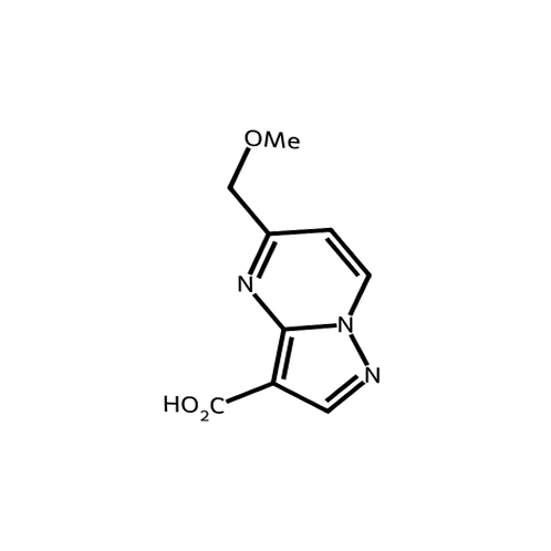 COCc1ccn2ncc(C(=O)O)c2n1